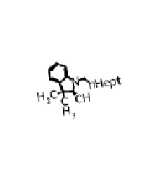 [CH]=C1N(CCCCCCCC)c2ccccc2C1(C)C